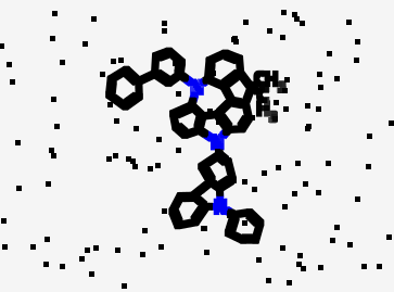 CC1(C)c2ccc3c4c2c2c1cccc2n(-c1cccc(-c2ccccc2)c1)c1cccc(c41)n3-c1ccc2c(c1)c1ccccc1n2-c1ccccc1